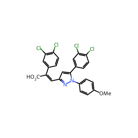 COc1ccc(-n2nc(C=C(C(=O)O)c3ccc(Cl)c(Cl)c3)cc2-c2ccc(Cl)c(Cl)c2)cc1